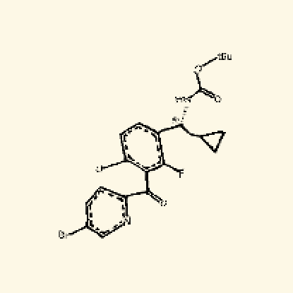 CC(C)(C)OC(=O)N[C@@H](c1ccc(Cl)c(C(=O)c2ccc(Br)cn2)c1F)C1CC1